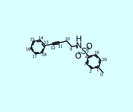 Cc1ccc(S(=O)(=O)NCCC#Cc2ccccc2)cc1